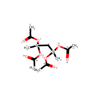 CC(=O)O[Si](C)(C[Si](C)(OC(C)=O)OC(C)=O)OC(C)=O